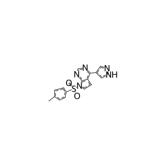 Cc1ccc(S(=O)(=O)n2ccc3c(-c4cn[nH]c4)ncnc32)cc1